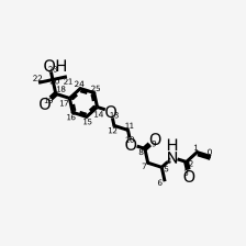 C=CC(=O)NC(C)CC(=O)OCCOc1ccc(C(=O)C(C)(C)O)cc1